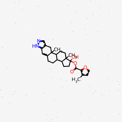 Cc1ccoc1C(=O)OC1(O)CCC2C3CCC4=Cc5[nH]ncc5CC4(C)C3CCC21C